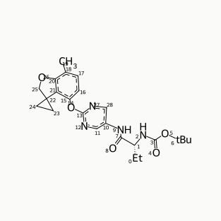 CC[C@@H](NC(=O)OC(C)(C)C)C(=O)Nc1cnc(Oc2ccc(C)c3c2C2(CC2)CO3)nc1